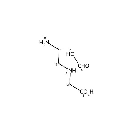 NCCNCC(=O)O.O=CO